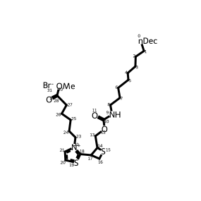 CCCCCCCCCCCCCCCCCCNC(=O)OCC1SCC1c1scc[n+]1CCCCCC(=O)OC.[Br-]